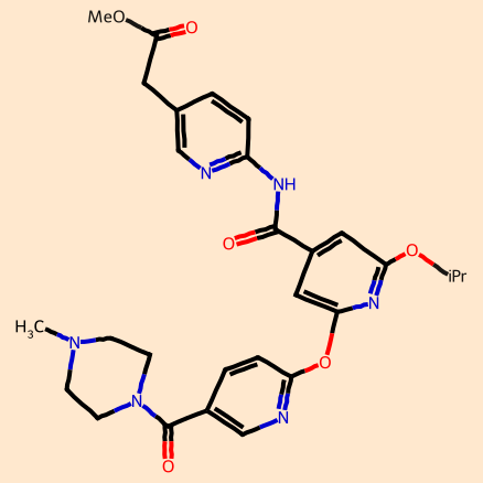 COC(=O)Cc1ccc(NC(=O)c2cc(Oc3ccc(C(=O)N4CCN(C)CC4)cn3)nc(OC(C)C)c2)nc1